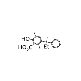 CCC(C)(c1ccccc1)c1cc(C)c(O)c(C(=O)O)c1C